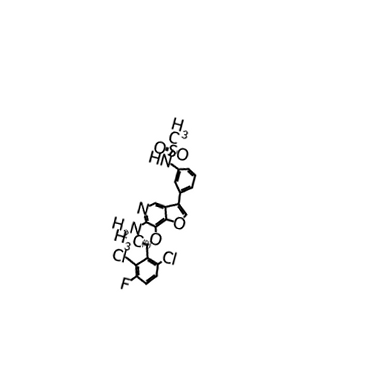 C[C@@H](Oc1c(N)ncc2c(-c3cccc(NS(C)(=O)=O)c3)coc12)c1c(Cl)ccc(F)c1Cl